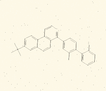 Cc1cc(-c2nccc3c2ccc2cc(C(C)(C)C)ccc23)ccc1-c1ccccc1Br